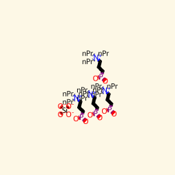 CCC[N+](CCC)(CCC)CCCP(=O)=O.CCC[N+](CCC)(CCC)CCCP(=O)=O.CCC[N+](CCC)(CCC)CCCP(=O)=O.CCC[N+](CCC)(CCC)CCCP(=O)=O.[O-][Si]([O-])([O-])[O-]